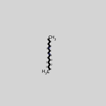 CCCC/C=C/C/C=C/CCCCCCC